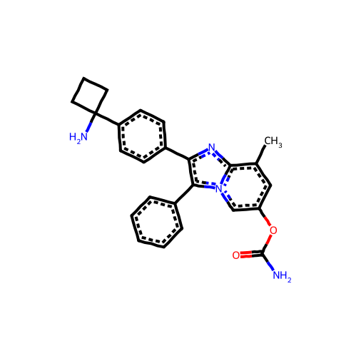 Cc1cc(OC(N)=O)cn2c(-c3ccccc3)c(-c3ccc(C4(N)CCC4)cc3)nc12